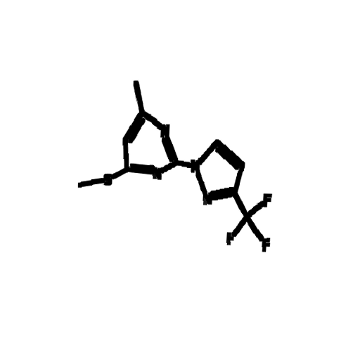 CSc1cc(C)nc(-n2ccc(C(F)(F)F)n2)n1